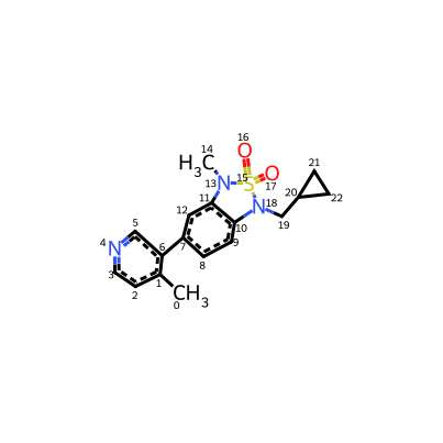 Cc1ccncc1-c1ccc2c(c1)N(C)S(=O)(=O)N2CC1CC1